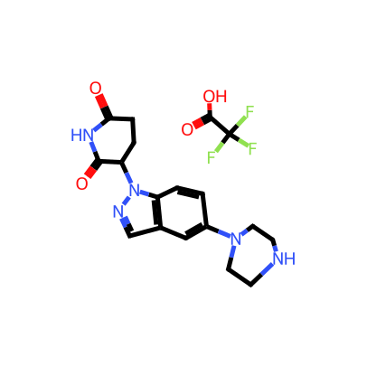 O=C(O)C(F)(F)F.O=C1CCC(n2ncc3cc(N4CCNCC4)ccc32)C(=O)N1